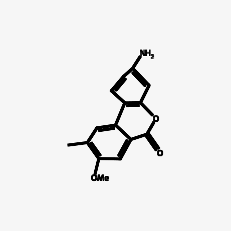 COc1cc2c(=O)oc3cc(N)ccc3c2cc1C